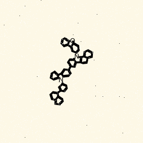 c1cc(-c2cccc3ccccc23)cc(-n2c3ccccc3c3cc(-c4ccc5c(c4)c4ccc6ccccc6c4n5-c4ccc5oc6ccccc6c5c4)ccc32)c1